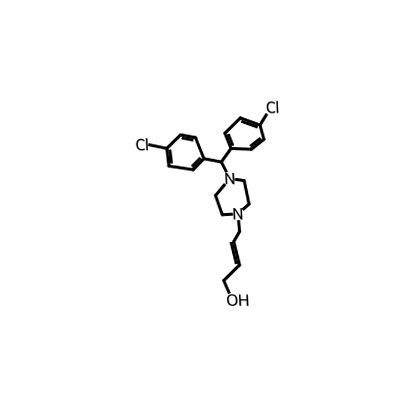 OCC=CCN1CCN(C(c2ccc(Cl)cc2)c2ccc(Cl)cc2)CC1